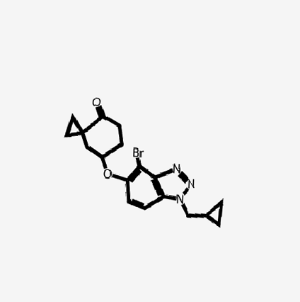 O=C1CCC(Oc2ccc3c(nnn3CC3CC3)c2Br)CC12CC2